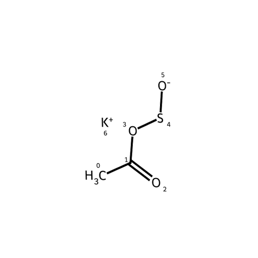 CC(=O)OS[O-].[K+]